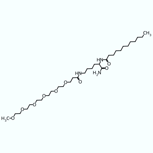 CCCCCCCCCCCC(=O)NC(CCCCNC(=O)CCOCCOCCOCCOCCOCCOC)C(N)=O